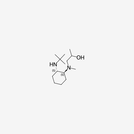 CC(O)CN(C)[C@H]1CCCC[C@@H]1NC(C)(C)C